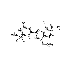 COC[C@@H](NC(=O)c1cc(=O)[nH]c(C(C)(C)OC)n1)c1ccc(OC(F)(F)F)c(F)c1